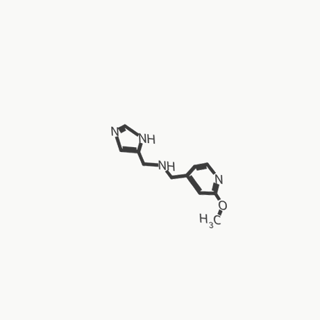 COc1cc(CNCc2cnc[nH]2)ccn1